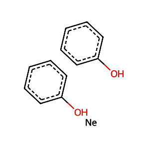 Oc1ccccc1.Oc1ccccc1.[Ne]